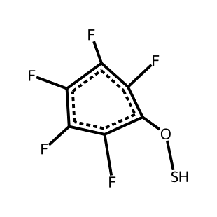 Fc1c(F)c(F)c(OS)c(F)c1F